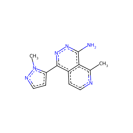 Cc1nccc2c(-c3ccnn3C)nnc(N)c12